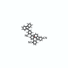 N#Cc1ccc2c(c1)c1ccccc1n2-c1cccc(C#N)c1-c1ccc(-c2ccc(-n3c4ccccc4c4ccccc43)cc2C#N)cc1